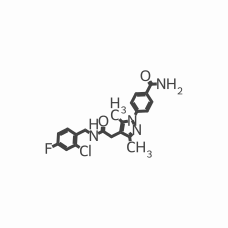 Cc1nn(-c2ccc(C(N)=O)cc2)c(C)c1CC(=O)NCc1ccc(F)cc1Cl